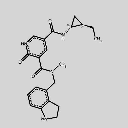 CC[C@@H]1C[C@H]1NC(=O)c1c[nH]c(=O)c(C(=O)N(C)Cc2cccc3c2CCN3)c1